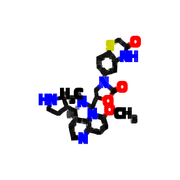 COc1ccc2nccc([C@H](C3CCNC3)N(C)CC3CN(c4ccc5c(c4)NC(=O)CS5)C(=O)O3)c2n1